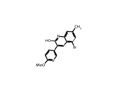 COc1ccc(-c2cc3c(Br)cc(C)cc3nc2O)cn1